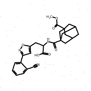 COC(=O)C12CC3CC(CC(C(=O)NC(Cc4cc(-c5ccccc5C#N)no4)C(=O)O)(C3)C1)C2